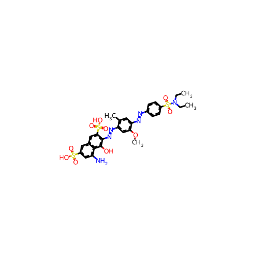 CCN(CC)S(=O)(=O)c1ccc(/N=N/c2cc(C)c(/N=N/c3c(S(=O)(=O)O)cc4cc(S(=O)(=O)O)cc(N)c4c3O)cc2OC)cc1